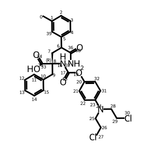 Cc1cccc(C(C[C@](Cc2ccccc2)(NC(=O)Oc2ccc(N(CCCl)CCCl)cc2)C(=O)O)C(N)=O)c1